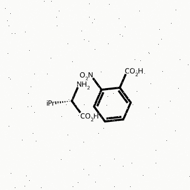 CC(C)[C@H](N)C(=O)O.O=C(O)c1ccccc1[N+](=O)[O-]